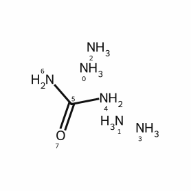 N.N.N.N.NC(N)=O